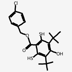 CC(C)(C)c1c(O)c(C(C)(C)C)c(S)c(C(=O)OCc2ccc(Cl)cc2)c1S